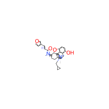 CN(C(=O)/C=C/c1ccoc1)[C@@H]1CCC2C3Cc4c(O)ccc5c4[C@@]2(CC[N@+]3(C)CC2CC2)C1O5